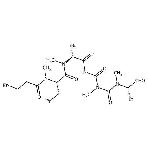 CC[C@@H](C=O)N(C)C(=O)N(C)C(=O)NC(=O)[C@H]([C@@H](C)CC)N(C)C(=O)[C@H](CC(C)C)N(C)C(=O)CCC(C)C